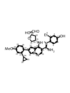 CCc1cc(O)ccc1N=C(N)c1cnn2cc(-c3ccc(OC)cc3C3CC3)cc2c1N[C@H]1CCOC1.O=CO